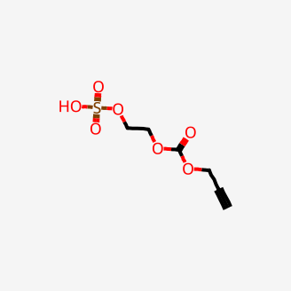 C#CCOC(=O)OCCOS(=O)(=O)O